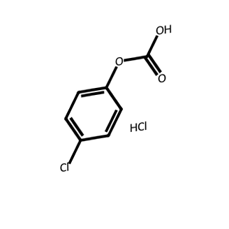 Cl.O=C(O)Oc1ccc(Cl)cc1